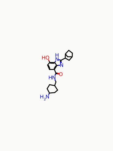 NC1CCC(CNC(=O)c2ccc(O)c3[nH]c(C4CC5CCC4C5)nc23)CC1